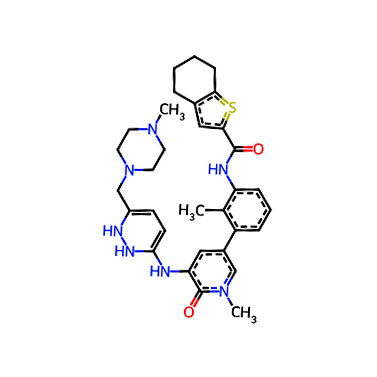 Cc1c(NC(=O)c2cc3c(s2)CCCC3)cccc1-c1cc(NC2=CC=C(CN3CCN(C)CC3)NN2)c(=O)n(C)c1